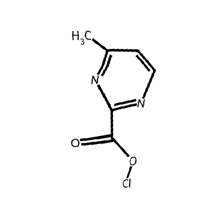 Cc1ccnc(C(=O)OCl)n1